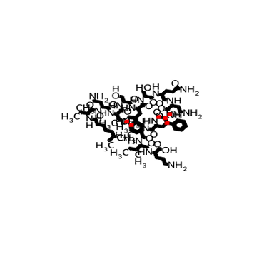 CCC(C)CCCCC(=O)NC(C(=O)NC(CCN)C(=O)NC(C(=O)NC(CO)C(=O)NC(Cc1c[nH]c2ccccc12)C(=O)NC(CO)C(=O)NC(CCC(N)=O)C(=O)NC(CCN)C(=O)NC(Cc1ccccc1)C(=O)NC(CCC(=O)O)C(=O)NC(C(=O)NC(C(=O)NC(CCCN)C(=O)O)C(C)CC)C(C)C)C(C)C)C(C)C